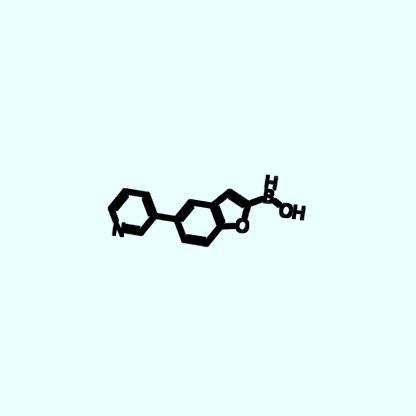 OBc1cc2cc(-c3cccnc3)ccc2o1